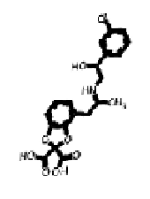 CC(Cc1cccc2c1OC(C(=O)O)(C(=O)O)O2)NCC(O)c1cccc(Cl)c1